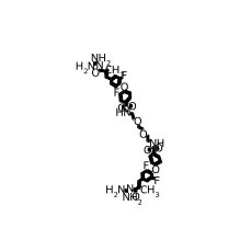 C/C(=C\c1cc(F)c(Oc2ccc(S(=O)(=O)NCCOCCOCCNS(=O)(=O)c3ccc(Oc4c(F)cc(/C=C(\C)C(=O)N=C(N)N)cc4F)cc3)cc2)c(F)c1)C(=O)N=C(N)N